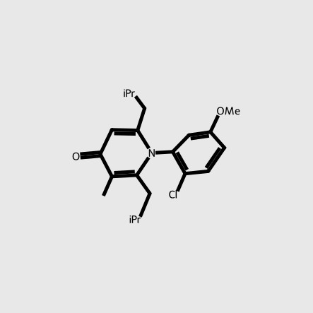 COc1ccc(Cl)c(-n2c(CC(C)C)cc(=O)c(C)c2CC(C)C)c1